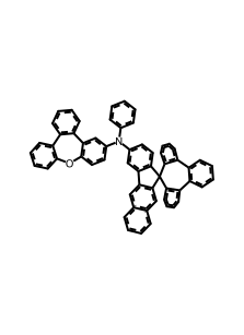 c1ccc(N(c2ccc3c(c2)-c2ccccc2-c2ccccc2O3)c2ccc3c(c2)-c2cc4ccccc4cc2C32c3ccccc3-c3ccccc3-c3ccccc32)cc1